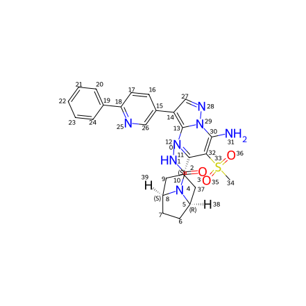 CNC(=O)N1[C@@H]2CC[C@H]1C[C@H](c1nc3c(-c4ccc(-c5ccccc5)nc4)cnn3c(N)c1S(C)(=O)=O)C2